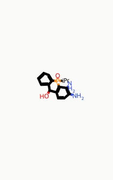 CC(C)P1(=O)c2ccccc2C(O)c2ccc(N)c(N)c21